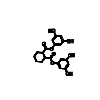 O=C(Oc1cc(O)cc(O)c1)C1CCCCC1C(=O)Oc1cc(O)cc(O)c1